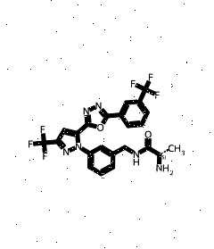 C[C@H](N)C(=O)NCc1cccc(-n2nc(C(F)(F)F)cc2-c2nnc(-c3cccc(C(F)(F)F)c3)o2)c1